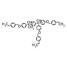 C=Cc1ccc(COC2=CC=C(C(C)(c3ccc(OCc4ccc(C=C)cc4)cc3)c3ccc(C(C)(C)c4ccc(OCc5ccc(C=C)cc5)cc4)cc3)CC2)cc1